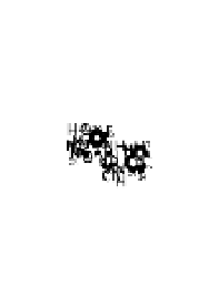 C=N/C(=N\C(N[C@@H]1C[C@@H]2CCCN2C(C)(C)C1)=C(/C)C#N)Nc1cc(-n2nnn(C)c2=O)c(O)cc1F